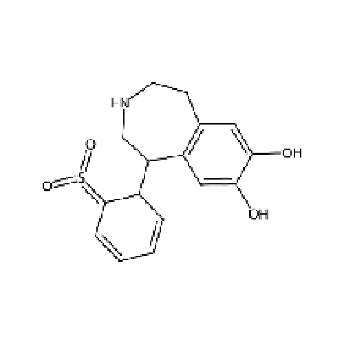 O=S(=O)=C1C=CC=CC1C1CNCCc2cc(O)c(O)cc21